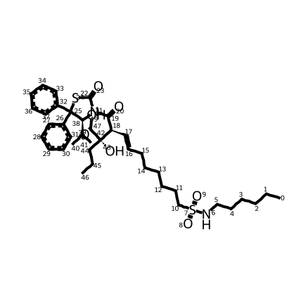 CCCCCCNS(=O)(=O)CCCCCCC=C[C@H](C(=O)N1C(=O)SC(c2ccccc2)(c2ccccc2)[C@@H]1C(C)C)[C@@](O)(CCC)C(=O)O